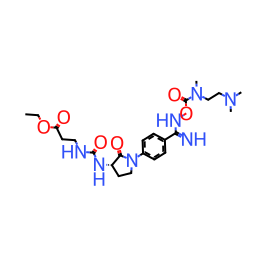 CCOC(=O)CCNC(=O)N[C@H]1CCN(c2ccc(C(=N)NOC(=O)N(C)CCN(C)C)cc2)C1=O